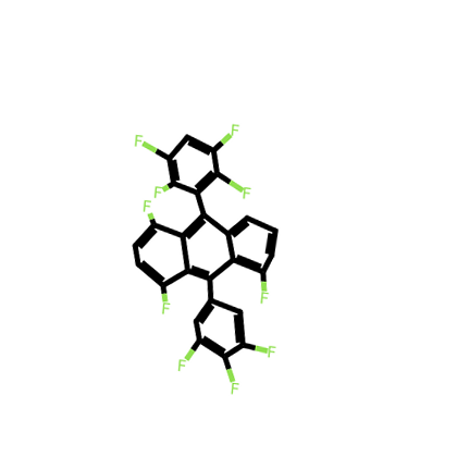 Fc1cc(-c2c3c(F)cccc3c(-c3c(F)c(F)cc(F)c3F)c3c(F)ccc(F)c23)cc(F)c1F